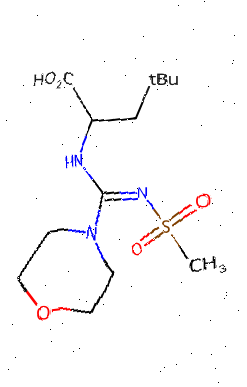 CC(C)(C)CC(N/C(=N/S(C)(=O)=O)N1CCOCC1)C(=O)O